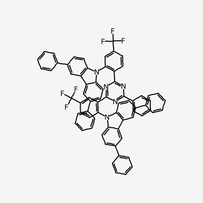 FC(F)(F)c1ccc(-n2c3ccc(-c4ccccc4)cc3c3cc(-c4ccccc4)ccc32)c(-c2nc(-c3ccccc3)nc(-c3ccc(C(F)(F)F)cc3-n3c4ccc(-c5ccccc5)cc4c4cc(-c5ccccc5)ccc43)n2)c1